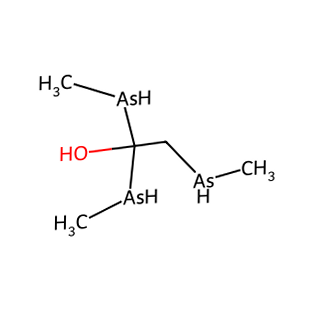 C[AsH]CC(O)([AsH]C)[AsH]C